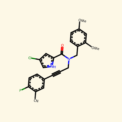 COc1ccc(CN(CC#Cc2ccc(F)c(C#N)c2)C(=O)c2cc(Cl)c[nH]2)c(OC)c1